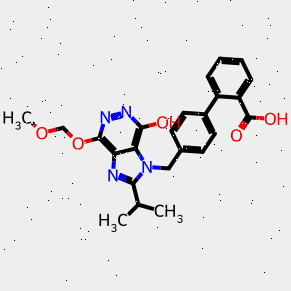 COCOc1nnc(O)c2c1nc(C(C)C)n2Cc1ccc(-c2ccccc2C(=O)O)cc1